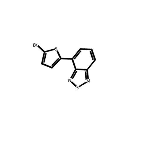 Brc1ccc(-c2cccc3nsnc23)s1